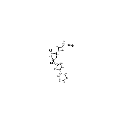 N#CN[C@H]1C[C@H](N2C[C@@H](Nc3ncc(C4CCCCC4)s3)CC2=O)C1